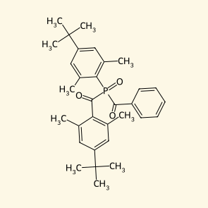 Cc1cc(C(C)(C)C)cc(C)c1C(=O)P(=O)(C(=O)c1ccccc1)c1c(C)cc(C(C)(C)C)cc1C